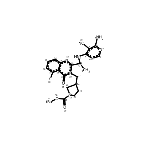 C[C@H](Nc1ncnc(N)c1C#N)c1nc2cccc(Cl)c2c(=O)n1CC1CCN(C(=O)OC(C)(C)C)C1